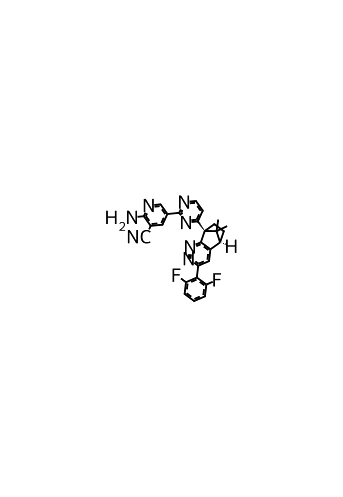 CC1(C)[C@H]2CC[C@@]1(c1ccnc(-c3cnc(N)c(C#N)c3)n1)c1nnc(-c3c(F)cccc3F)cc12